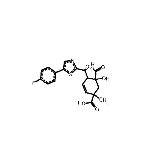 CC1(C(=O)O)C=CC(C(=O)c2ncc(-c3ccc(F)cc3)s2)C(O)(C(=O)O)C1